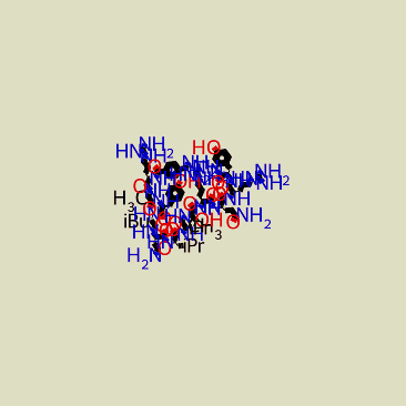 CC[C@H](C)[C@H](NC(=O)[C@H](Cc1ccc(O)cc1)NC(=O)[C@H](C)NC(=O)[C@H](CCCNC(=N)N)NC(=O)c1ccc(CN)cc1)C(=O)N[C@@H](CC(N)=O)C(=O)N[C@@H](CC(C)C)C(=O)N[C@H](C(=O)N[C@H](C(=O)N[C@@H](CCCNC(=N)N)C(=O)N[C@@H](CCC(N)=O)C(=O)N[C@@H](CCCNC(=N)N)C(=O)N[C@@H](Cc1ccc(O)cc1)C(N)=O)[C@@H](C)O)C(C)C